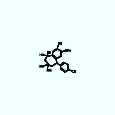 CCCCC1(CCCC)CN(c2ccc(C#N)cc2)c2cc(SC)c(O)cc2S(O)(O)C1